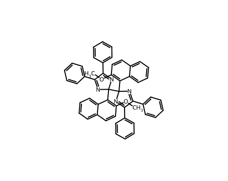 COc1ccc2ccccc2c1C1(C2(c3c(OC)ccc4ccccc34)N=C(c3ccccc3)C(c3ccccc3)=N2)N=C(c2ccccc2)C(c2ccccc2)=N1